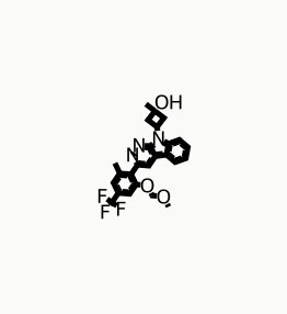 COCOc1cc(C(F)(F)F)cc(C)c1-c1cc2c3ccccc3n(C3CC(C)(O)C3)c2nn1